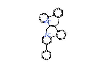 c1ccc(-c2cc[n+]3c(c2)-c2ccccc2C2=C(C3)[n+]3ccccc3-c3ccccc3C2)cc1